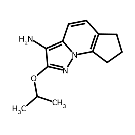 CC(C)Oc1nn2c3c(ccc2c1N)CCC3